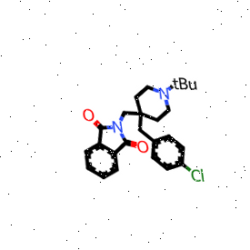 CC(C)(C)N1CCC(Cc2ccc(Cl)cc2)(CN2C(=O)c3ccccc3C2=O)CC1